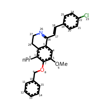 CCCc1c2c(cc(OC)c1OCc1ccccc1)C(C=Cc1ccc(Cl)cc1)=NCC2